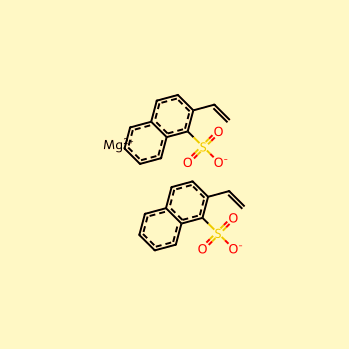 C=Cc1ccc2ccccc2c1S(=O)(=O)[O-].C=Cc1ccc2ccccc2c1S(=O)(=O)[O-].[Mg+2]